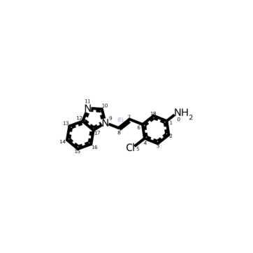 Nc1ccc(Cl)c(/C=C/n2cnc3ccccc32)c1